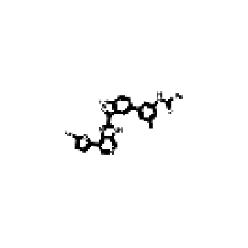 CC(=O)c1ccc(-c2cncc3[nH]c(-c4n[nH]c5ccc(-c6cc(C)cc(NC(=O)C(C)(C)C)c6)cc45)nc23)s1